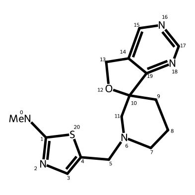 CNc1ncc(CN2CCCC3(C2)OCc2cncnc23)s1